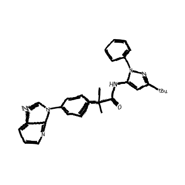 CC(C)(C)c1cc(NC(=O)C(C)(C)c2ccc(-n3cnc4cccnc43)cc2)n(-c2ccccc2)n1